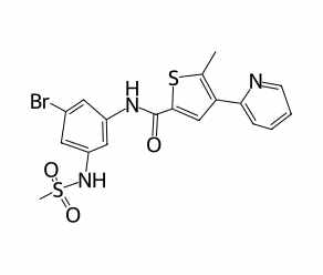 Cc1sc(C(=O)Nc2cc(Br)cc(NS(C)(=O)=O)c2)cc1-c1ccccn1